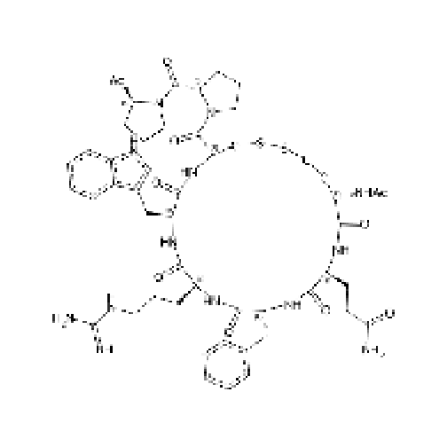 CC(=O)N[C@H]1CCSSC[C@@H](C(=O)N2CCC[C@H]2C(=O)N2CCC[C@H]2C(C)=O)NC(=O)[C@H](Cc2c[nH]c3ccccc23)NC(=O)[C@H](CCCNC(=N)N)NC(=O)[C@@H](Cc2ccccc2)NC(=O)[C@H](CCC(N)=O)NC1=O